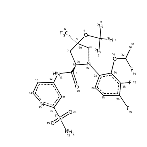 [2H]C([2H])([2H])O[C@]1(C(F)(F)F)C[C@H](C(=O)Nc2ccnc(S(N)(=O)=O)c2)N(c2ccc(F)c(F)c2OC(F)F)C1